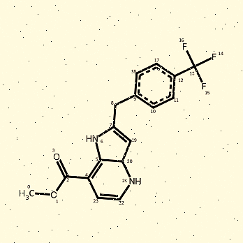 COC(=O)C1=C2NC(Cc3ccc(C(F)(F)F)cc3)=CC2NC=C1